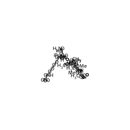 CC[C@H](C)[C@@H]([C@@H](CC(=O)N1CCC[C@H]1[C@H](OC)[C@@H](C)C(=O)N[C@@H](Cc1ccccc1)c1nccs1)OC)N(C)C(=O)[C@@H](NC(=O)[C@H](C(C)C)N(C)C(=O)OC(C(=O)N1CCN(C)CC1)c1ccc(NC(=O)[C@H](CCCNC(N)=O)NC(=O)[C@@H](NC(=O)CCOCCOCCOCCOCCNC(=O)CCN2C(=O)CCC2=O)C(C)C)cc1)C(C)C